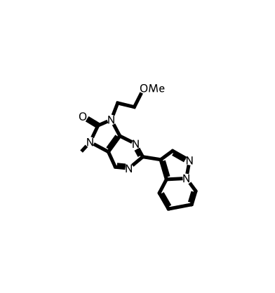 COCCn1c(=O)n(C)c2cnc(-c3cnn4ccccc34)nc21